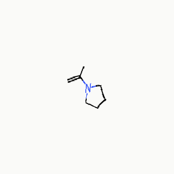 C=C(C)N1CCCC1